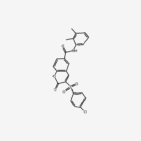 Cc1cccc(NC(=O)c2ccc3oc(=O)c(S(=O)(=O)c4ccc(Cl)cc4)cc3c2)c1C